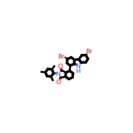 Cc1cc(C)c(N2C(=O)c3cccc(-c4cc(Br)cc5c4[nH]c4ccc(Br)cc45)c3C2=O)c(C)c1